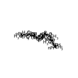 CCC[N+](C)(C)CCOC(=O)C(C)(Br)CC(C)(C)C(=O)OCOC(F)(F)OC(F)(F)C(F)(F)OC(F)(F)COC(=O)C(C)(C)CC(C)(Br)C(=O)OCC[N+](C)(C)CCC